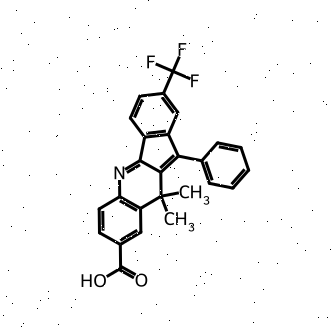 CC1(C)C2=C(c3ccccc3)c3cc(C(F)(F)F)ccc3C2=Nc2ccc(C(=O)O)cc21